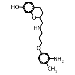 Cc1ccc(OCCCNCC2CCc3ccc(O)cc3O2)cc1N